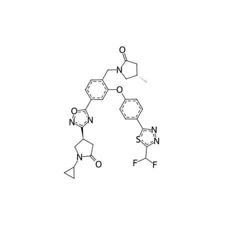 C[C@H]1CC(=O)N(Cc2ccc(-c3nc([C@H]4CC(=O)N(C5CC5)C4)no3)cc2Oc2ccc(-c3nnc(C(F)F)s3)cc2)C1